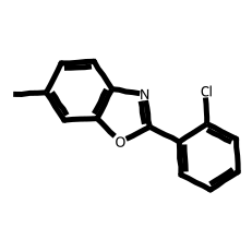 Cc1ccc2nc(-c3ccccc3Cl)oc2c1